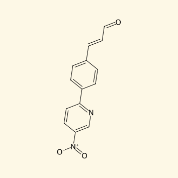 O=C/C=C/c1ccc(-c2ccc([N+](=O)[O-])cn2)cc1